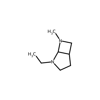 CCN1CCC2CN(C)C21